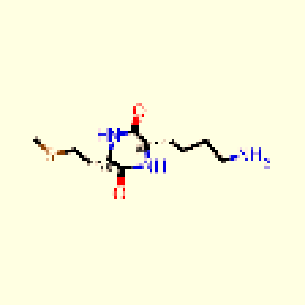 CSCC[C@@H]1NC(=O)[C@H](CCCCN)NC1=O